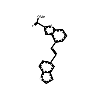 COC(=O)c1cc2c(C=Cc3ccc4sccc4c3)cccc2s1